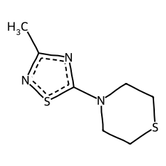 Cc1nsc(N2CCSCC2)n1